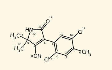 Cc1cc(Cl)c(C2=C(O)C(C)(C)NC2=O)cc1Cl